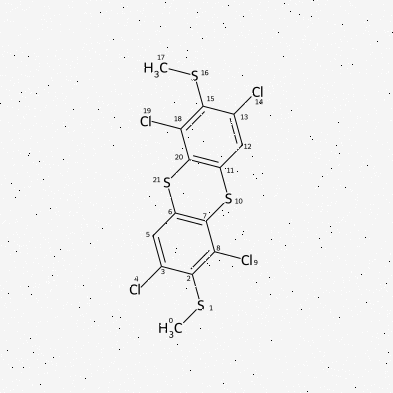 CSc1c(Cl)cc2c(c1Cl)Sc1cc(Cl)c(SC)c(Cl)c1S2